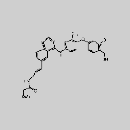 COCC(=O)NCC=Cc1ccc2ncnc(Nc3ccc(Oc4ccc(CO)[n+]([O-])c4)c(C)c3)c2c1